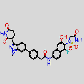 Cn1nc(C2CCC(=O)NC2=O)c2ccc(-c3ccc(CC(=O)Nc4ccc5c(F)c(N6CC(=O)NS6(=O)=O)c(O)cc5c4)cc3)cc21